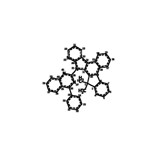 CC1(C)c2ccccc2-c2c1c1c(c3ccccc23)c2cccnc2n1-c1nc(-c2ccccc2)c2ccccc2n1